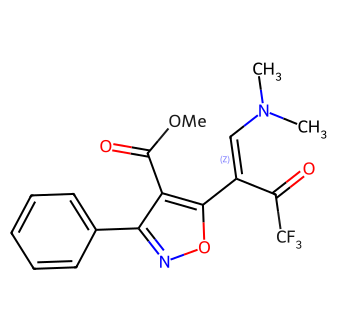 COC(=O)c1c(-c2ccccc2)noc1/C(=C/N(C)C)C(=O)C(F)(F)F